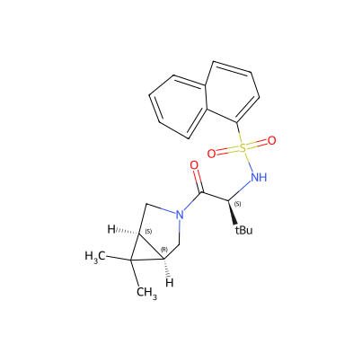 CC(C)(C)[C@H](NS(=O)(=O)c1cccc2ccccc12)C(=O)N1C[C@@H]2[C@H](C1)C2(C)C